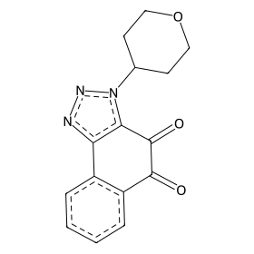 O=C1C(=O)c2c(nnn2C2CCOCC2)-c2ccccc21